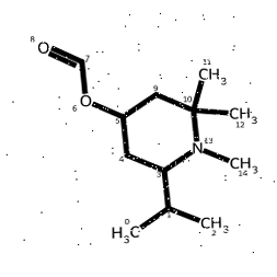 CC(C)C1CC(OC=O)CC(C)(C)N1C